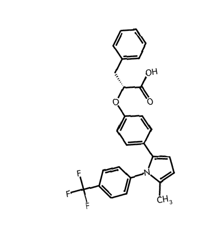 Cc1ccc(-c2ccc(O[C@H](Cc3ccccc3)C(=O)O)cc2)n1-c1ccc(C(F)(F)F)cc1